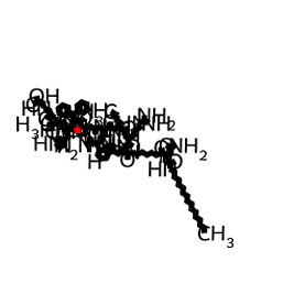 CCCCCCCCCCCCCCCCNC(=O)CN(CC(N)=O)C(=O)CCCCCNC(=O)C(Cc1c[nH]c2ccccc12)NC(=O)C(CCCNC(=N)N)NC(=O)C(CSCC)NC(=O)C(CCCNC(=N)N)NC(=O)CC1CCCN1C(=O)C(NC(=O)C(Cc1c[nH]cn1)NC(=O)C(NC(=O)CNCC(=O)O)C(C)O)C(c1ccccc1)c1ccccc1